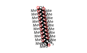 COC(=O)C(C)(C)CC(C)(CC(C)(CC(C)(CC(C)(CC(C)(CC(C)(CC(C)(CC(C)(CC(C)(CC(C)(CC(C)(CC(C)(CC(C)(CC(C)(CC(C)(CC(C)(CC(C)(CC(C)(CC(C)(C)C(=O)OC)C(=O)OC)C(=O)OC)C(=O)OC)C(=O)OC)C(=O)OC)C(=O)OC)C(=O)OC)C(=O)OC)C(=O)OC)C(=O)OC)C(=O)OC)C(=O)OC)C(=O)OC)C(=O)OC)C(=O)OC)C(=O)OC)C(=O)OC)C(=O)OC